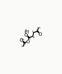 CC(=O)CCC(=O)OC(C)=O.[Pt]